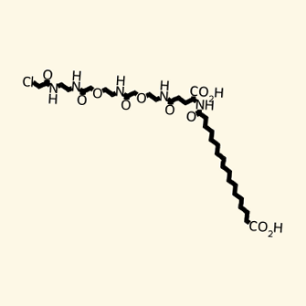 O=C(O)CCCCCCCCCCCCCCCCC(=O)NC(CCC(=O)NCCOCC(=O)NCCOCC(=O)NCCNC(=O)CCl)C(=O)O